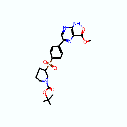 COC(=O)c1nc(-c2ccc(S(=O)(=O)C3CCCN(C(=O)OC(C)(C)C)C3)cc2)cnc1N